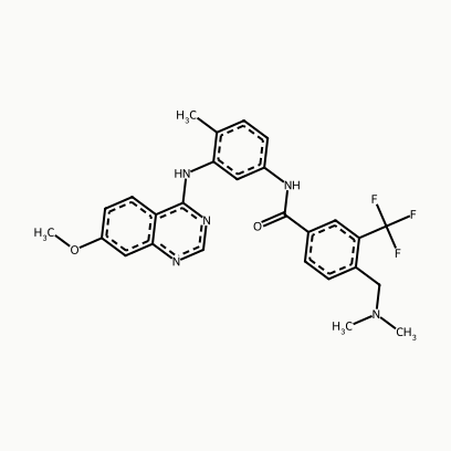 COc1ccc2c(Nc3cc(NC(=O)c4ccc(CN(C)C)c(C(F)(F)F)c4)ccc3C)ncnc2c1